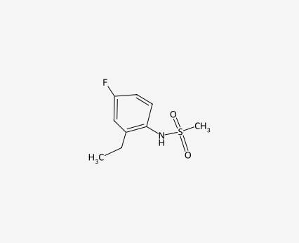 CCc1cc(F)ccc1NS(C)(=O)=O